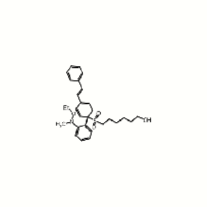 CCON(C)c1ccccc1C1(S(=O)(=O)CCCCCCO)C=CC(C=Cc2ccccc2)=CC1